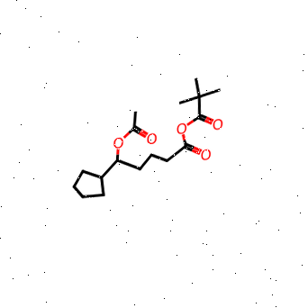 CC(=O)OC(CCCC(=O)OC(=O)C(C)(C)C)C1CCCC1